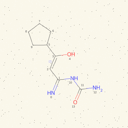 N=C(/C=C(\O)C1CCCC1)NC(N)=O